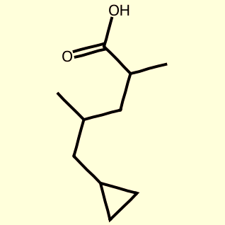 CC(CC1CC1)CC(C)C(=O)O